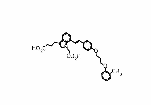 Cc1ccccc1OCCCOc1ccc(C=Cc2cccc3c(CCCC(=O)O)cn(CC(=O)O)c23)cc1